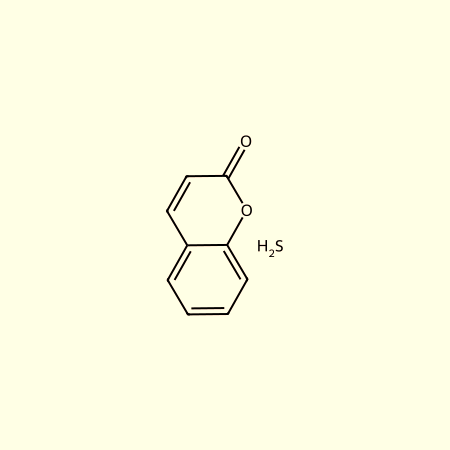 O=c1ccc2ccccc2o1.S